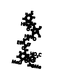 CCN(CCNC(=O)c1cc(/C=C2\C(=O)Nc3ccc(F)cc32)n(C)c1C)C(=O)OCc1ccc(OC)c(OP(=O)(COC)N[C@@H](C)C(=O)O)c1